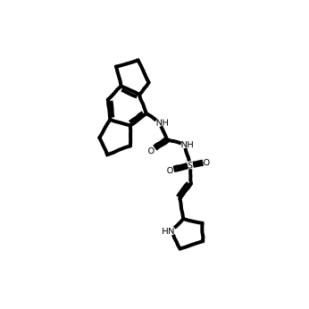 O=C(Nc1c2c(cc3c1CCC3)CCC2)NS(=O)(=O)C=CC1CCCN1